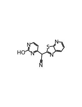 N#CC(c1ccnc(O)n1)c1nc2cccnc2s1